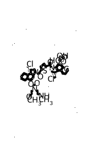 CNCCN(CCOC)C(=O)Oc1cc2c(c3ccccc13)[C@H](CCl)CN2C(=O)c1ccc(C(=O)N2C[C@@H](CCl)c3c2cc(OP(=O)(O)O)c2ccccc32)s1